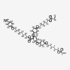 C=CC(=O)OCCCCCCOc1ccc(Oc2ccc(Oc3ccc(OCCCCCCOC(=O)C=C)cc3)c(C(=O)OCCCCCCCCOc3ccc(C#N)cc3)c2)cc1